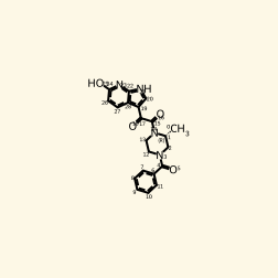 C[C@@H]1CN(C(=O)c2ccccc2)CCN1C(=O)C(=O)c1c[nH]c2nc(O)ccc12